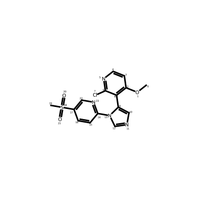 COc1ccnc(Cl)c1-c1cncn1-c1ccc(S(C)(=O)=O)cn1